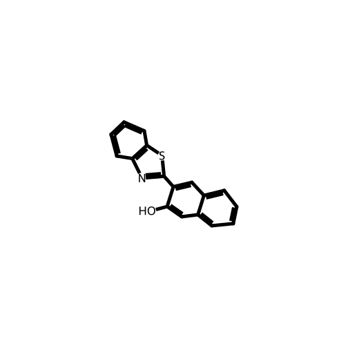 Oc1cc2ccccc2cc1-c1nc2c(s1)C=C=C=C2